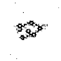 O=C(N[C@@H](c1ccccc1)c1cccc(OCc2ccc(C(=O)O)c(CCOc3ccc(CNCC(O)c4ccc(O)c5[nH]c(=O)ccc45)cc3Cl)c2)c1)OC1CN2CCC1CC2